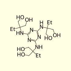 CCC(CO)(CO)Nc1nc(NC(CC)(CO)CO)nc(NC(CC)(CO)CO)n1